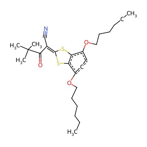 CCCCCCOc1ccc(OCCCCCC)c2c1SC(=C(C#N)C(=O)C(C)(C)C)S2